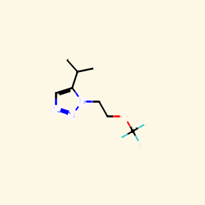 CC(C)c1cnnn1CCOC(F)(F)F